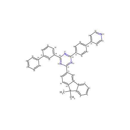 CC1(C)c2ccccc2-c2cc(-c3nc(-c4ccc(-c5ccncc5)cc4)nc(-c4cccc(-c5ccccc5)c4)n3)ccc21